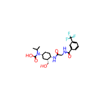 CC(C)N(C(=O)O)[C@@H]1CC[C@H](NC(=O)CNC(=O)c2cccc(C(F)(F)F)c2)[C@H](CO)C1